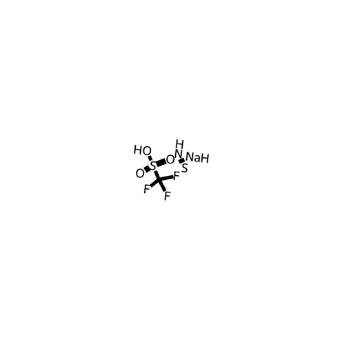 N=S.O=S(=O)(O)C(F)(F)F.[NaH]